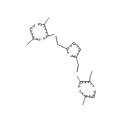 Cc1cnc(C)c(NCc2ccc(COc3nc(C)cnc3C)o2)n1